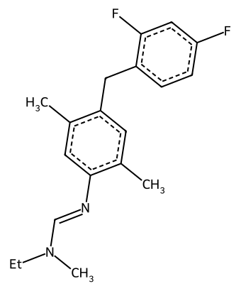 CCN(C)C=Nc1cc(C)c(Cc2ccc(F)cc2F)cc1C